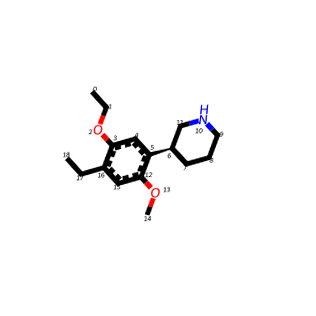 CCOc1cc([C@@H]2CCCNC2)c(OC)cc1CC